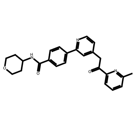 Cc1cccc(C(=O)Cc2ccnc(-c3ccc(C(=O)NC4CCOCC4)cc3)c2)n1